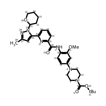 COc1cc(N2CCN(C(=O)OC(C)(C)C)CC2)ccc1NC(=O)c1cccc(-c2cc(C)nn2C2CCCCO2)n1